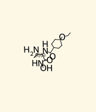 CCOC1CCC(C(=O)N[C@H](C(=O)NO)[C@@H](C)N)CC1